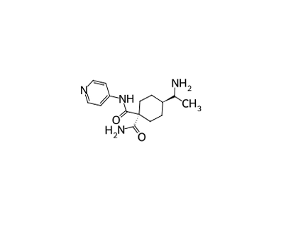 CC(N)[C@H]1CC[C@@](C(N)=O)(C(=O)Nc2ccncc2)CC1